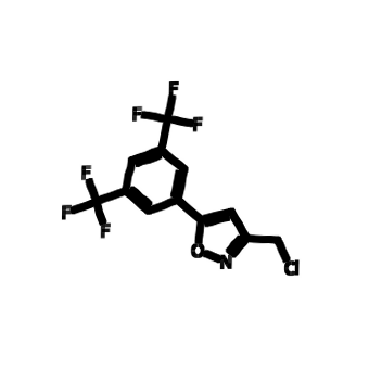 FC(F)(F)c1cc(-c2cc(CCl)no2)cc(C(F)(F)F)c1